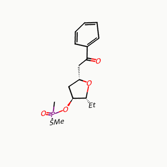 CC[C@H]1O[C@@H](CC(=O)c2ccccc2)C[C@@H]1O[P@](C)(=O)SC